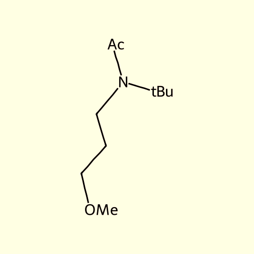 COCCCN(C(C)=O)C(C)(C)C